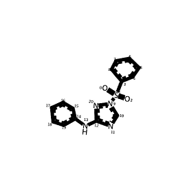 O=S(=O)(c1ccccc1)n1cnc(Nc2ccccc2)n1